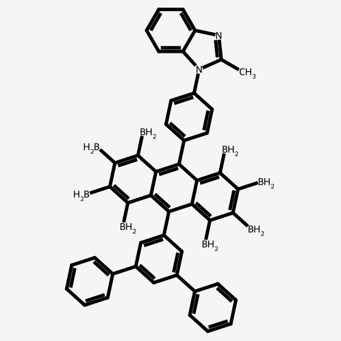 Bc1c(B)c(B)c2c(-c3cc(-c4ccccc4)cc(-c4ccccc4)c3)c3c(B)c(B)c(B)c(B)c3c(-c3ccc(-n4c(C)nc5ccccc54)cc3)c2c1B